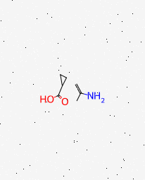 C=C(C)N.O=C(O)C1CC1